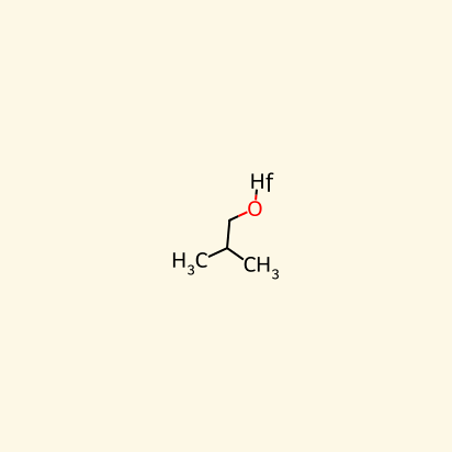 CC(C)C[O][Hf]